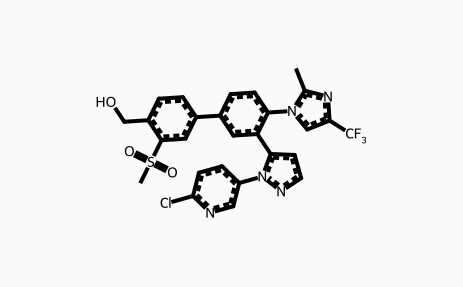 Cc1nc(C(F)(F)F)cn1-c1ccc(-c2ccc(CO)c(S(C)(=O)=O)c2)cc1-c1ccnn1-c1ccc(Cl)nc1